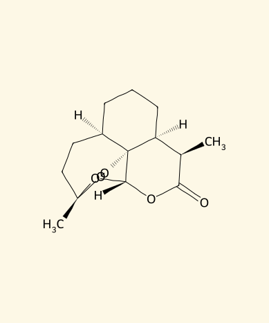 C[C@H]1C(=O)O[C@@H]2O[C@@]3(C)CC[C@H]4CCC[C@@H]1[C@]42OO3